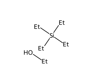 CCO.CC[Si](CC)(CC)CC